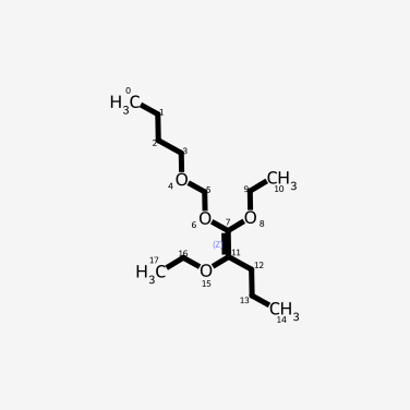 CCCCOCO/C(OCC)=C(/CCC)OCC